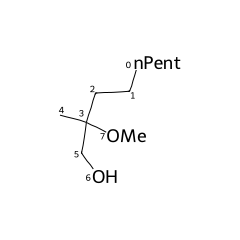 CCCCCCCC(C)(CO)OC